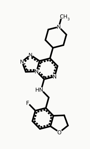 CN1CCC(c2cnc(NCc3c(F)ccc4c3CCO4)n3cnnc23)CC1